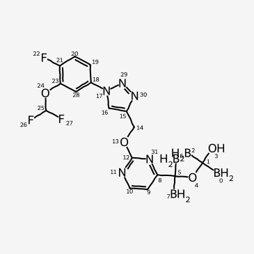 BC(B)(O)OC(B)(B)c1ccnc(OCc2cn(-c3ccc(F)c(OC(F)F)c3)nn2)n1